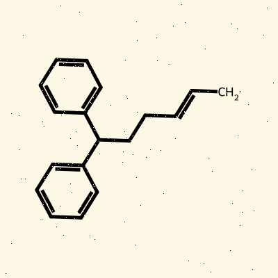 [CH2]/C=C/CCC(c1ccccc1)c1ccccc1